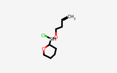 C=CCCO[SiH](Cl)C1CCCCO1